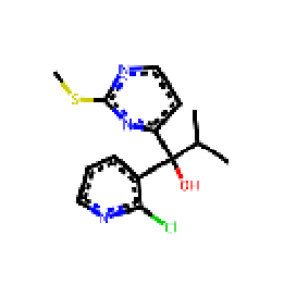 CSc1nccc(C(O)(c2cccnc2Cl)C(C)C)n1